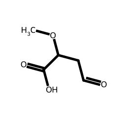 COC(CC=O)C(=O)O